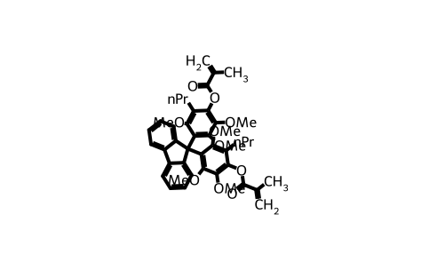 C=C(C)C(=O)Oc1c(CCC)c(OC)c(C2(c3c(OC)c(CCC)c(OC(=O)C(=C)C)c(OC)c3OC)c3ccccc3-c3ccccc32)c(OC)c1OC